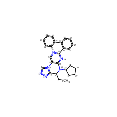 CCC1c2nncn2-c2cnc(-c3ccccc3-c3ccccc3)nc2N1C1CCCC1